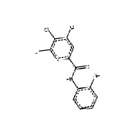 O=C(Nc1ccccc1O)c1cc(Cl)c(Cl)c(Cl)n1